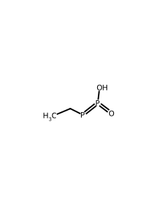 CCP=P(=O)O